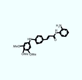 COc1cc(Nc2ccc(/C=C/C(=O)Nc3ccccc3N)cc2)cc(OC)c1OC